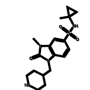 Cn1c(=O)n(CC2CCNCC2)c2ccc(S(=O)(=O)NC3(C)CC3)cc21